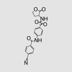 N#Cc1ccc(C(=O)Nc2ccc(S(=O)(=O)NC3CCOC3=O)cc2)cc1